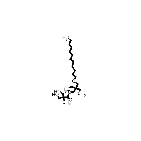 CCCCCCCCCCCCOCC(CC)(CC)COC(=O)C(C)(CO)CO